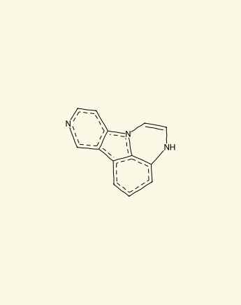 C1=Cn2c3ccncc3c3cccc(c32)N1